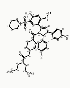 CCOc1cc(C)c(S(=O)(=O)N2CCCCC2)cc1C1=N[C@@H](c2ccc(Cl)cc2)[C@@H](c2ccc(Cl)cc2)N1C(=O)N1CCN(CC(=O)N(CCOC)CCOC)CC1